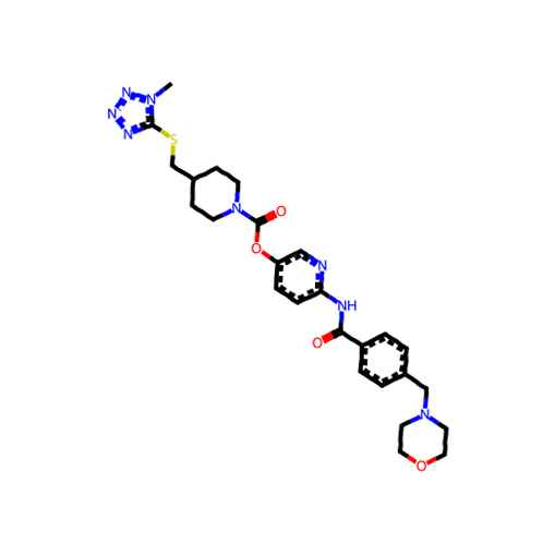 Cn1nnnc1SCC1CCN(C(=O)Oc2ccc(NC(=O)c3ccc(CN4CCOCC4)cc3)nc2)CC1